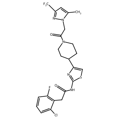 Cc1cc(C(F)(F)F)nn1CC(=O)N1CCC(c2csc(NC(=O)Cc3c(F)cccc3Cl)n2)CC1